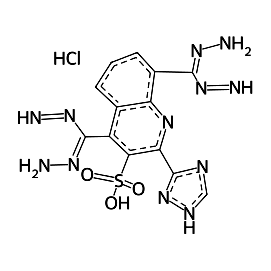 Cl.N=NC(=NN)c1c(S(=O)(=O)O)c(-c2nc[nH]n2)nc2c(C(N=N)=NN)cccc12